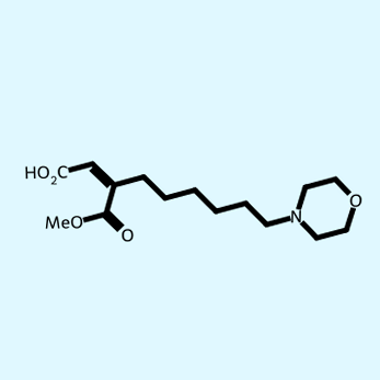 COC(=O)C(=CC(=O)O)CCCCCCN1CCOCC1